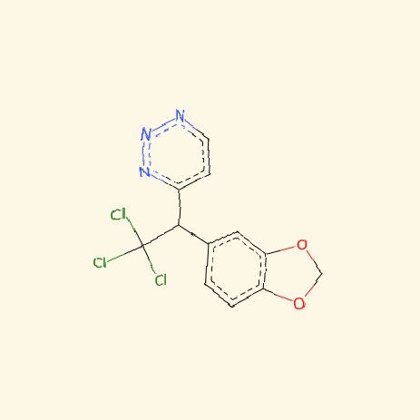 ClC(Cl)(Cl)C(c1ccc2c(c1)OCO2)c1ccnnn1